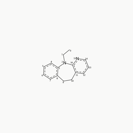 CCN1c2ccccc2CCc2cccnc21